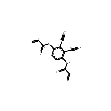 C=CC(=O)Oc1ccc(OC(=O)C=C)c(C#N)c1C#N